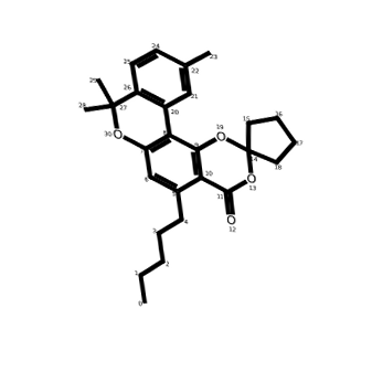 CCCCCc1cc2c(c3c1C(=O)OC1(CCCC1)O3)-c1cc(C)ccc1C(C)(C)O2